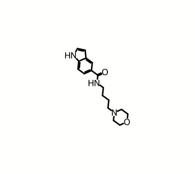 O=C(NCCCCN1CCOCC1)c1ccc2[nH]ccc2c1